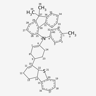 Cc1ccc(N(C2=CCC(C3=CCCC4c5ccccc5SC34)CC2)c2cccc3c2-c2ccccc2C3(C)C)cc1